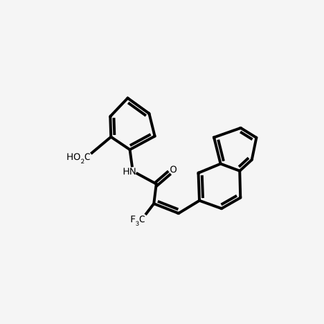 O=C(Nc1ccccc1C(=O)O)C(=Cc1ccc2ccccc2c1)C(F)(F)F